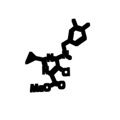 COC(=O)c1nc(C2CC2)nc(N(C)Cc2ccc(C)c(C)c2)c1Cl